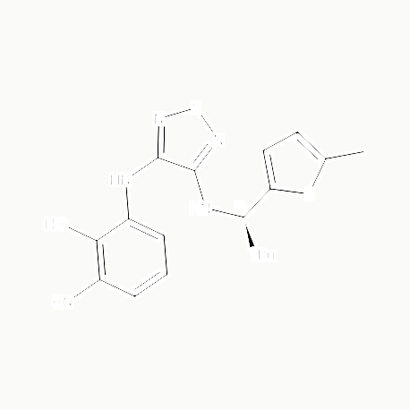 [C-]#[N+]c1cccc(Nc2nsnc2N[C@@H](c2ccc(C)s2)C(C)(C)C)c1O